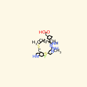 CN/C1=N\C(=N)[C@@](C)(c2cccc(CC(=O)O)c2)CCCC(C)(C)CSCCc2c(c(F)cc3[nH]ccc23)Sc2ccnc1c2